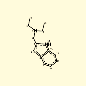 CCN(CC)Cc1nc2ccccc2[nH]1